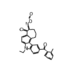 CCn1c2ccc(C(=O)c3ccccc3C)cc2c2c3c(ccc21)C(=O)/C(=N/OC=O)CCC3